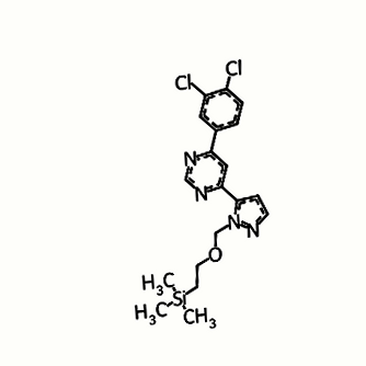 C[Si](C)(C)CCOCn1nccc1-c1cc(-c2ccc(Cl)c(Cl)c2)ncn1